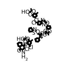 CC(Oc1ccc(Oc2cnc3cc(Cl)ccc3n2)cc1)C(=O)O.CN(C(=O)COc1nc2ccccc2s1)c1ccccc1.Cc1cc(Cl)ccc1OC(C)C(=O)O.Cc1cc(Cl)ccc1O[C@H](C)C(=O)O.NC1=C(Cl)C(=O)c2ccccc2C1=O